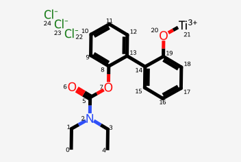 CCN(CC)C(=O)Oc1ccccc1-c1ccccc1[O][Ti+3].[Cl-].[Cl-].[Cl-]